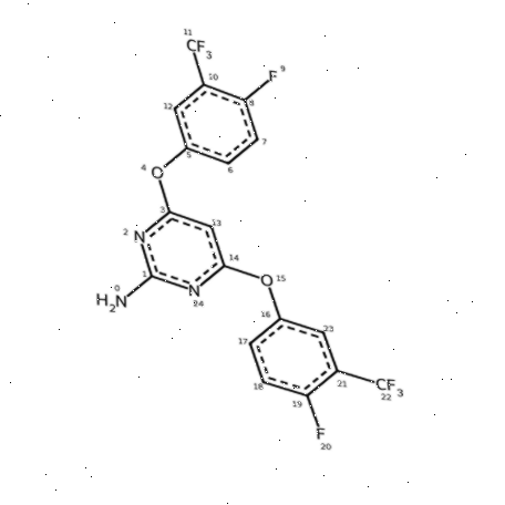 Nc1nc(Oc2ccc(F)c(C(F)(F)F)c2)cc(Oc2ccc(F)c(C(F)(F)F)c2)n1